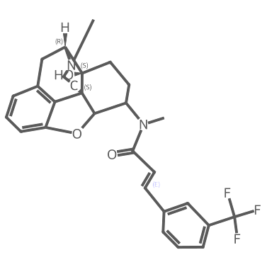 CN(C(=O)/C=C/c1cccc(C(F)(F)F)c1)C1CC[C@@]2(O)[C@H]3Cc4cccc5c4[C@@]2(CCN3C)C1O5